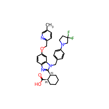 Cc1ccc(COc2ccc3nc([C@H]4CCCC[C@H]4C(=O)O)n(Cc4ccc(N5CCC(F)(F)C5)cc4)c3c2)nc1